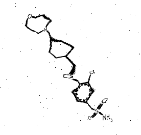 NS(=O)(=O)c1ccc(OCC2CCC(N3CCOCC3)CC2)c(Cl)c1